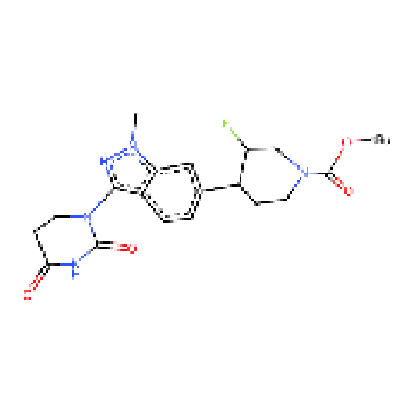 Cn1nc(N2CCC(=O)NC2=O)c2ccc(C3CCN(C(=O)OC(C)(C)C)CC3F)cc21